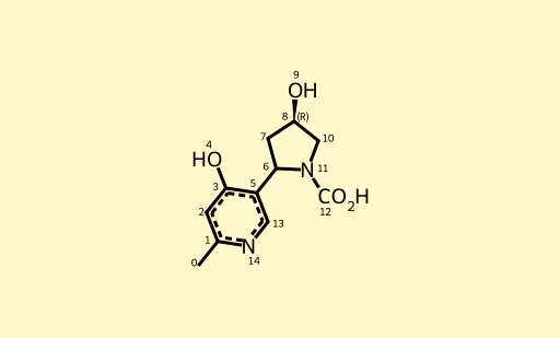 Cc1cc(O)c(C2C[C@@H](O)CN2C(=O)O)cn1